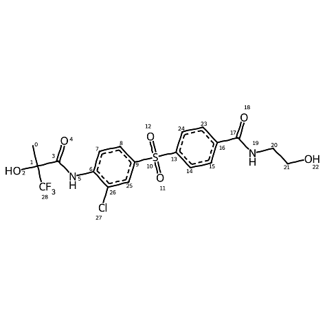 CC(O)(C(=O)Nc1ccc(S(=O)(=O)c2ccc(C(=O)NCCO)cc2)cc1Cl)C(F)(F)F